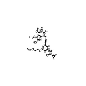 COCCOc1cc(C#CCn2c(=O)n(C)c(=O)c3c2nc(S)n3C)cc(NC(=O)C2CC2)c1